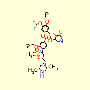 C[C@@H]1CN(CCCN(c2ccc(C(=O)O[C@@H](Cc3c(Cl)cncc3Cl)c3ccc(OC(F)F)c(OCC4CC4)c3)cc2OCC2CC2)S(C)(=O)=O)[C@@H](C)CN1